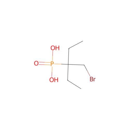 CCC(CC)(CBr)P(=O)(O)O